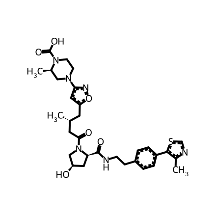 Cc1ncsc1-c1ccc(CCNC(=O)[C@H]2C[C@@H](O)CN2C(=O)C[C@H](C)Cc2cc(N3CCN(C(=O)O)[C@H](C)C3)no2)cc1